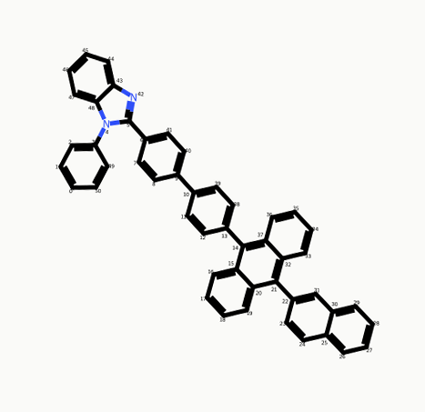 c1ccc(-n2c(-c3ccc(-c4ccc(-c5c6ccccc6c(-c6ccc7ccccc7c6)c6ccccc56)cc4)cc3)nc3ccccc32)cc1